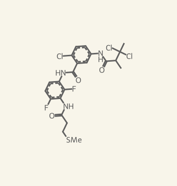 CSCCC(=O)Nc1c(F)ccc(NC(=O)c2cc(NC(=O)C(C)C(C)(Cl)Cl)ccc2Cl)c1F